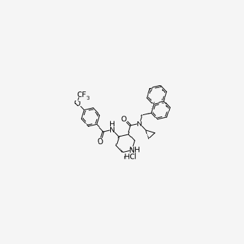 Cl.O=C(NC1CCNCC1C(=O)N(Cc1cccc2ccccc12)C1CC1)c1ccc(OC(F)(F)F)cc1